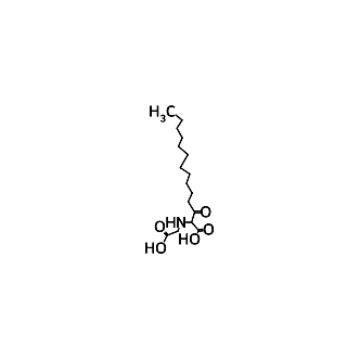 CCCCCCCCCCCC(=O)C(NCC(=O)O)C(=O)O